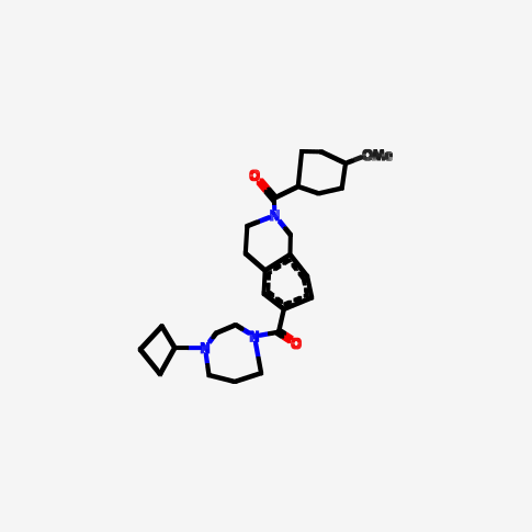 COC1CCC(C(=O)N2CCc3cc(C(=O)N4CCCN(C5CCC5)CC4)ccc3C2)CC1